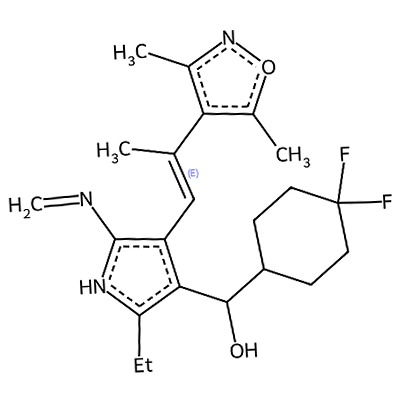 C=Nc1[nH]c(CC)c(C(O)C2CCC(F)(F)CC2)c1/C=C(\C)c1c(C)noc1C